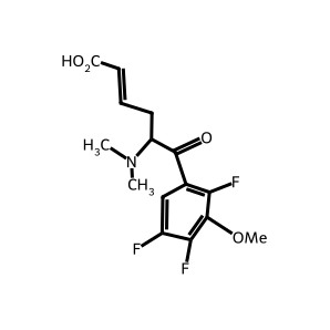 COc1c(F)c(F)cc(C(=O)C(CC=CC(=O)O)N(C)C)c1F